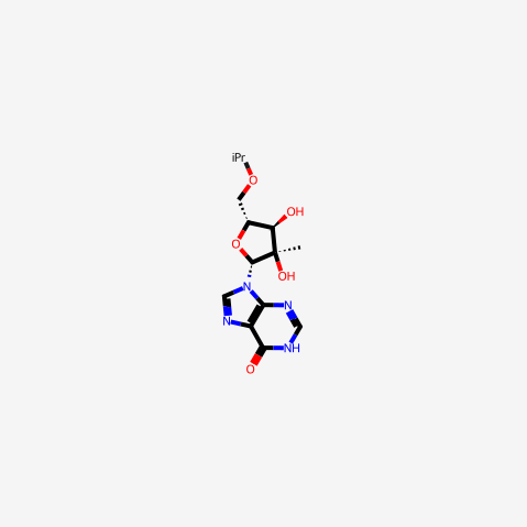 CC(C)OC[C@H]1O[C@@H](n2cnc3c(=O)[nH]cnc32)[C@](C)(O)[C@@H]1O